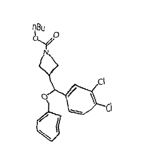 CCCCOC(=O)N1CC(C(Oc2ccccc2)c2ccc(Cl)c(Cl)c2)C1